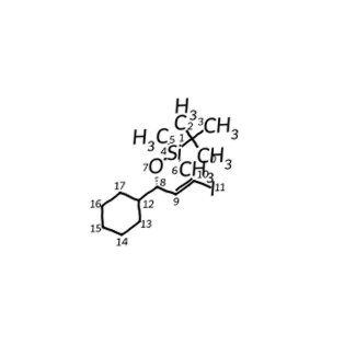 CC(C)(C)[Si](C)(C)O[C@H](C=CI)C1CCCCC1